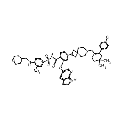 CC1(C)CCC(CN2CCC3(CC2)CN(c2ccc(C(=O)NS(=O)(=O)c4ccc(NCC5CCOCC5)c([N+](=O)[O-])c4)c(Oc4cnc5[nH]ccc5c4)c2)C3)=C(c2ccc(Cl)cc2)C1